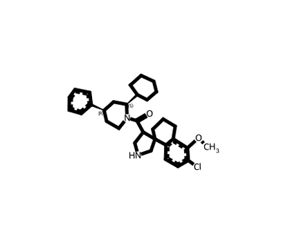 COc1c(Cl)ccc2c1CCCC21CNCC1C(=O)N1CC[C@@H](c2ccccc2)C[C@H]1C1CCCCC1